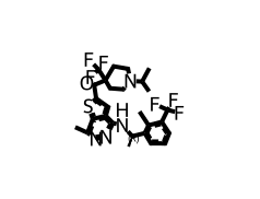 Cc1c([C@@H](C)Nc2nnc(C)c3sc(C(=O)C4(C(F)(F)F)CCN(C(C)C)CC4)cc23)cccc1C(F)(F)F